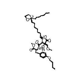 CCCCCCCC1(CCCCCCC=C[C@H](C(=O)N[C@@H](Cc2ccc(OCCCC)cc2)C(=O)OC)[C@@](O)(COC)C(=O)O)OCCO1